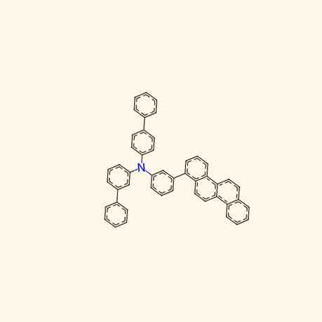 c1ccc(-c2ccc(N(c3cccc(-c4ccccc4)c3)c3cccc(-c4cccc5c4ccc4c6ccccc6ccc54)c3)cc2)cc1